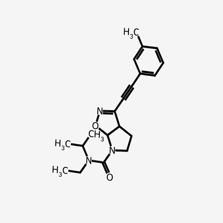 CCN(C(=O)N1CCC2C(C#Cc3cccc(C)c3)=NOC21)C(C)C